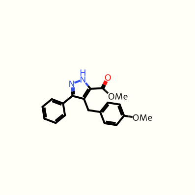 COC(=O)c1[nH]nc(-c2ccccc2)c1Cc1ccc(OC)cc1